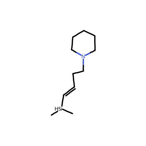 C[SiH](C)C=CCCN1CCCCC1